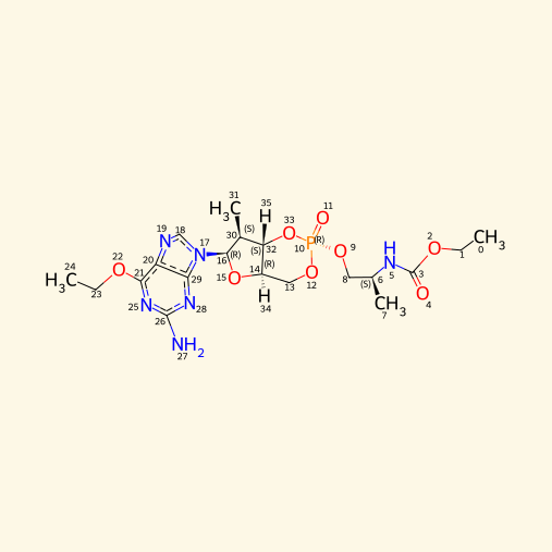 CCOC(=O)N[C@@H](C)CO[P@]1(=O)OC[C@H]2O[C@@H](n3cnc4c(OCC)nc(N)nc43)[C@@H](C)[C@@H]2O1